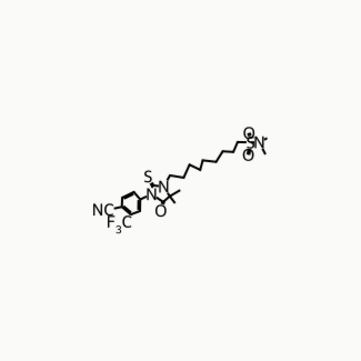 CN(C)S(=O)(=O)CCCCCCCCCN1C(=S)N(c2ccc(C#N)c(C(F)(F)F)c2)C(=O)C1(C)C